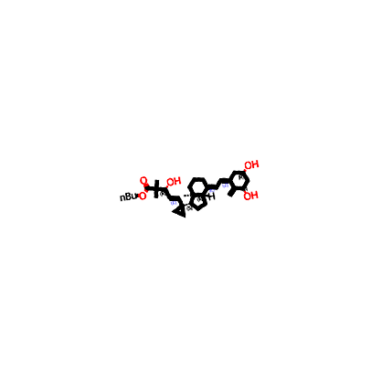 C=C1/C(=C\C=C2/CCC[C@]3(C)[C@@H](C4(/C=C/[C@@H](O)C(C)(C)C(=O)OCCCC)CC4)CC[C@@H]23)C[C@@H](O)C[C@@H]1O